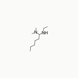 CCCCCC(NCC)N(C)C